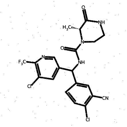 C[C@@H]1C(=O)NCCN1C(=O)NC(c1cnc(C(F)(F)F)c(Cl)c1)c1ccc(Cl)c(C#N)c1